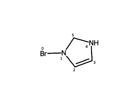 BrN1C=CNC1